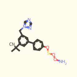 [C-]#[N+]C(C)(C)c1cc(Cn2cncn2)cc(-c2ccc(OSOON)cc2)c1